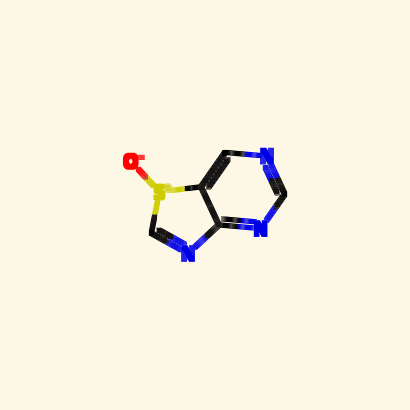 [O-][s+]1cnc2ncncc21